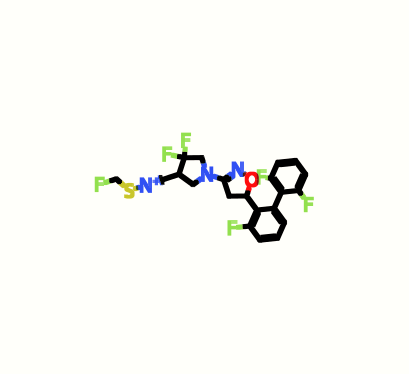 FCS[N+]#CC1CN(C2=NOC(c3c(F)cccc3-c3c(F)cccc3F)C2)CC1(F)F